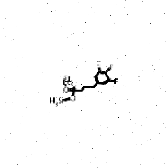 CCOC(CCCc1cc(F)c(F)c(F)c1)(O[SiH3])OCC